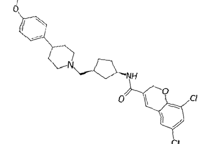 COc1ccc(C2CCN(C[C@H]3CC[C@@H](NC(=O)C4=Cc5cc(Cl)cc(Cl)c5OC4)C3)CC2)cc1